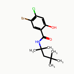 CC(C)(C)CC(C)(C)NC(=O)c1cc(Br)c(Cl)cc1O